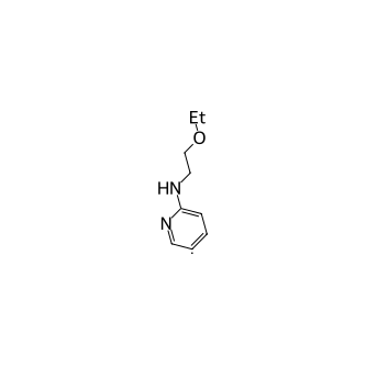 CCOCCNc1cc[c]cn1